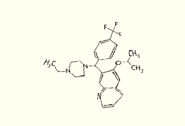 CCN1CCN(C(c2ccc(C(F)(F)F)cc2)c2cc3ncccc3cc2OC(C)C)CC1